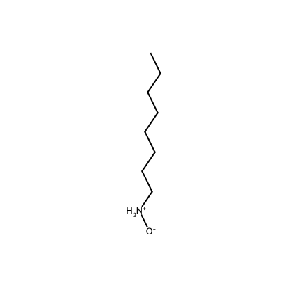 CCCCCCCC[NH2+][O-]